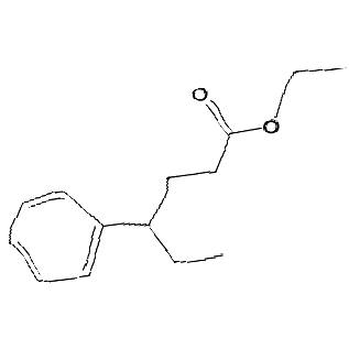 CCOC(=O)CCC(CC)c1ccccc1